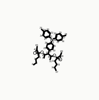 CCCCC1(OC(C)C(c2ccc(N(c3ccc(C)cc3)c3ccc(C)cc3)cc2)C(C)OC2(CCCC)OC2C)OC1C